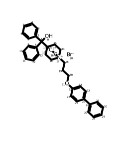 OC(c1ccccc1)(c1ccccc1)C12CC[N+](CCCOc3ccc(-c4ccccc4)cc3)(CC1)CC2.[Br-]